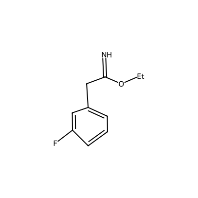 CCOC(=N)Cc1cccc(F)c1